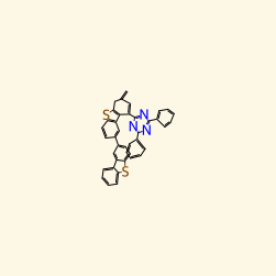 C=C1C=C(c2nc(-c3ccccc3)nc(-c3ccccc3)n2)c2c(sc3ccc(-c4ccc5sc6ccccc6c5c4)cc23)C1